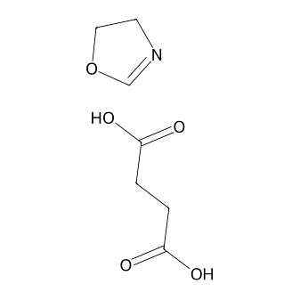 C1=NCCO1.O=C(O)CCC(=O)O